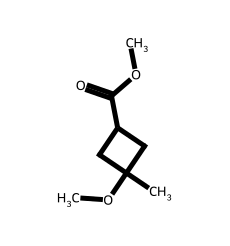 COC(=O)C1CC(C)(OC)C1